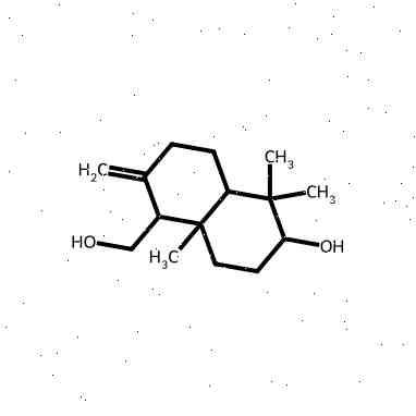 C=C1CCC2C(C)(C)C(O)CCC2(C)C1CO